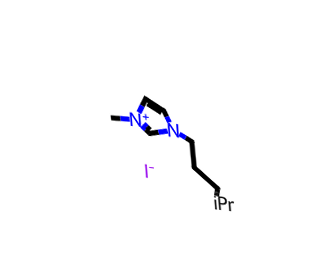 CC(C)CCCn1cc[n+](C)c1.[I-]